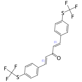 O=C(/C=C/c1ccc(SC(F)(F)F)cc1)/C=C/c1ccc(SC(F)(F)F)cc1